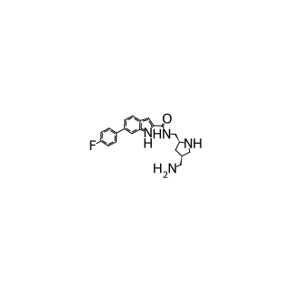 NC[C@@H]1CN[C@H](CNC(=O)c2cc3ccc(-c4ccc(F)cc4)cc3[nH]2)C1